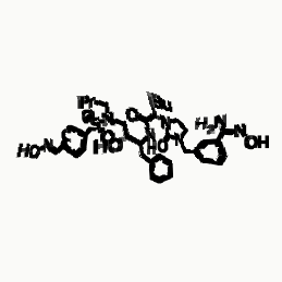 CC[C@H](C)[C@@H](C(=O)N[C@@H](Cc1ccccc1)[C@H](O)CN(CC(C)C)S(=O)(=O)c1ccc(/C=N/O)cc1)N1CCN(Cc2cccc(/C(N)=N\O)c2)C1=O